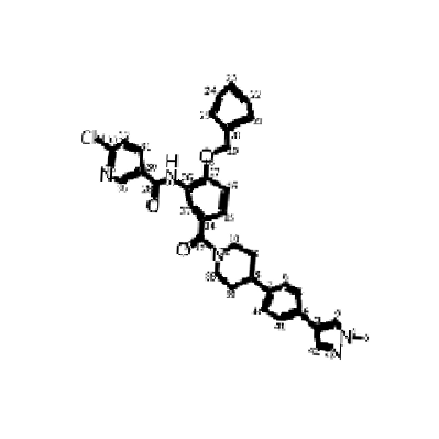 Cn1cc(-c2ccc(C3CCN(C(=O)c4ccc(OCc5ccccc5)c(NC(=O)c5ccc(Cl)nc5)c4)CC3)cc2)cn1